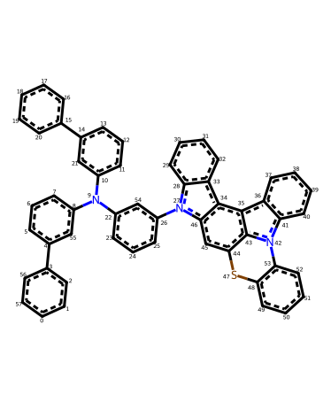 c1ccc(-c2cccc(N(c3cccc(-c4ccccc4)c3)c3cccc(-n4c5ccccc5c5c6c7ccccc7n7c6c(cc54)Sc4ccccc4-7)c3)c2)cc1